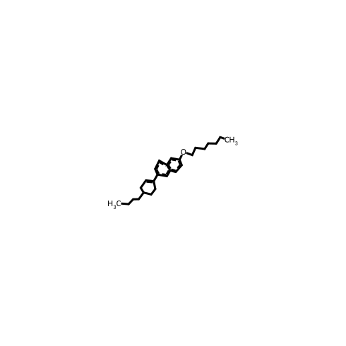 CCCCCCCOc1ccc2cc(C3=CCC(CCCC)CC3)ccc2c1